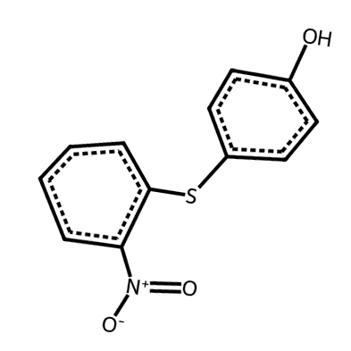 O=[N+]([O-])c1ccccc1Sc1ccc(O)cc1